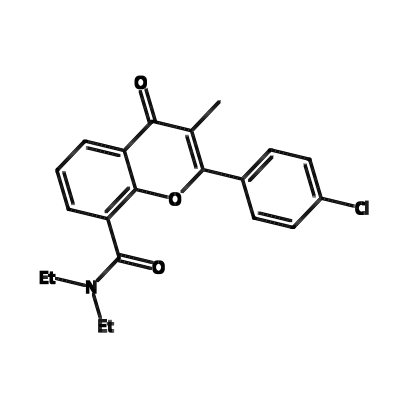 CCN(CC)C(=O)c1cccc2c(=O)c(C)c(-c3ccc(Cl)cc3)oc12